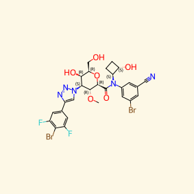 CO[C@@H]1[C@@H](n2cc(-c3cc(F)c(Br)c(F)c3)nn2)[C@@H](O)[C@@H](CO)O[C@H]1C(=O)N(c1cc(Br)cc(C#N)c1)[C@H]1CC[C@@H]1O